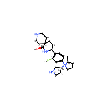 C[C@H]1CCC[N+]1(c1ccc(C2CCC3(CCNCC3)C(=O)N2)c(F)c1)[C@H]1CCNC1